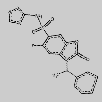 CC(c1ccccc1)n1c(=O)oc2cc(S(=O)(=O)Nc3ncns3)c(F)cc21